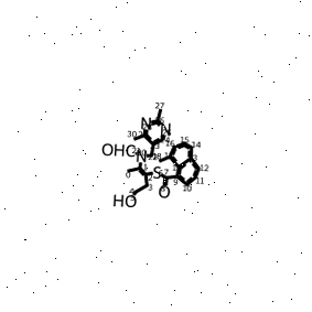 C/C(=C(\CCO)SC(=O)c1cccc2cccc(C)c12)N(C=O)Cc1cnc(C)nc1C